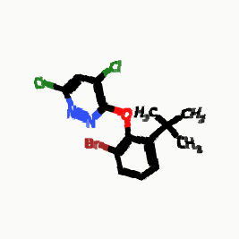 CC(C)(C)c1cccc(Br)c1Oc1nnc(Cl)cc1Cl